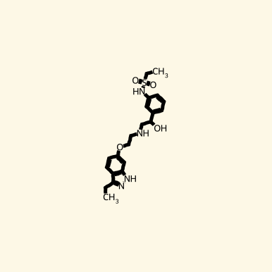 CCc1n[nH]c2cc(OCCNCC(O)c3cccc(NS(=O)(=O)CC)c3)ccc12